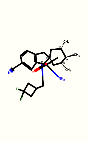 C[C@H]1[C@H](C)C[C@@]2(Cc3ccc(C#N)cc3[C@]23N=C(N)N(CC2CC(F)(F)C2)C3=O)C[C@@H]1C